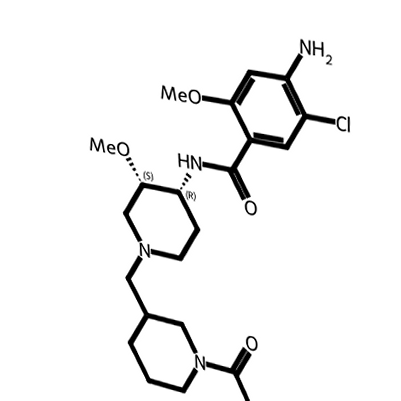 CCC(=O)N1CCCC(CN2CC[C@@H](NC(=O)c3cc(Cl)c(N)cc3OC)[C@@H](OC)C2)C1